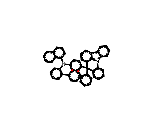 c1ccc(-c2ccccc2N(c2ccc3c(c2)-c2ccccc2C32c3ccccc3-n3c4ccccc4c4cccc2c43)c2cccc3ccccc23)cc1